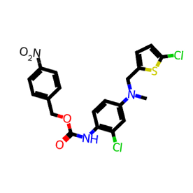 CN(Cc1ccc(Cl)s1)c1ccc(NC(=O)OCc2ccc([N+](=O)[O-])cc2)c(Cl)c1